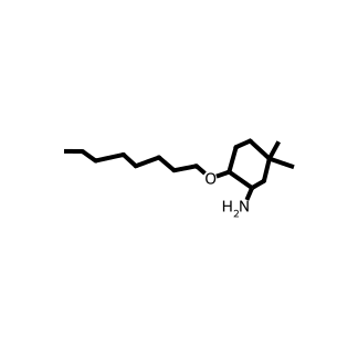 CCCCCCCCOC1CCC(C)(C)CC1N